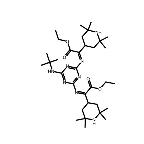 CCOC(=O)/C(=N\c1nc(/N=C(\C(=O)OCC)C2CC(C)(C)NC(C)(C)C2)nc(NC(C)(C)C)n1)C1CC(C)(C)NC(C)(C)C1